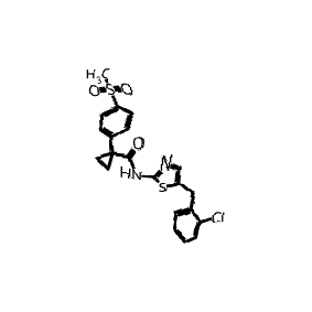 CS(=O)(=O)c1ccc(C2(C(=O)Nc3ncc(Cc4ccccc4Cl)s3)CC2)cc1